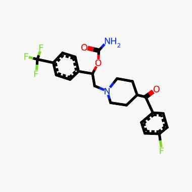 NC(=O)OC(CN1CCC(C(=O)c2ccc(F)cc2)CC1)c1ccc(C(F)(F)F)cc1